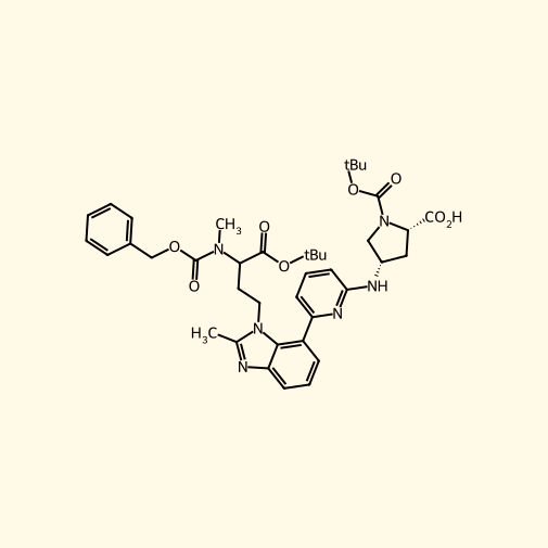 Cc1nc2cccc(-c3cccc(N[C@H]4C[C@@H](C(=O)O)N(C(=O)OC(C)(C)C)C4)n3)c2n1CCC(C(=O)OC(C)(C)C)N(C)C(=O)OCc1ccccc1